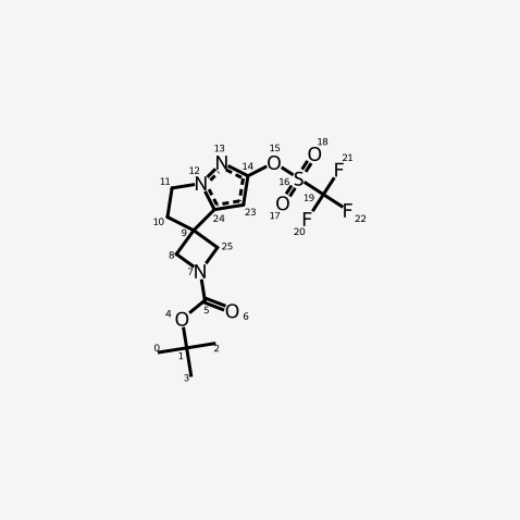 CC(C)(C)OC(=O)N1CC2(CCn3nc(OS(=O)(=O)C(F)(F)F)cc32)C1